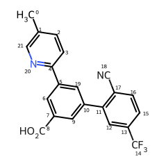 Cc1ccc(-c2cc(C(=O)O)cc(-c3cc(C(F)(F)F)ccc3C#N)c2)nc1